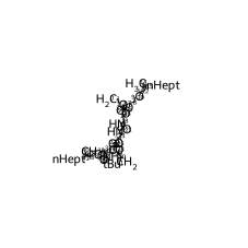 C=CCOP(=O)(OCCCOCC[C@H](C)CCCCCCC)OCCNC(=O)NCCOP(=O)(OCC=C)OC[C@@H](COCC[C@H](C)CCCCCCC)NOC(C)(C)C